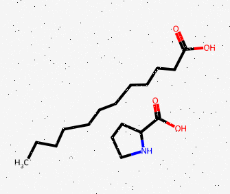 CCCCCCCCCCCC(=O)O.O=C(O)C1CCCN1